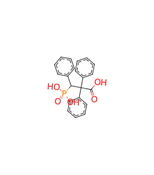 O=C(O)C(c1ccccc1)(c1ccccc1)C(c1ccccc1)P(=O)(O)O